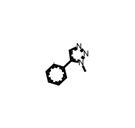 Cn1nncc1-c1[c]cccc1